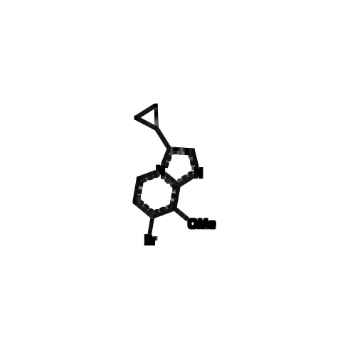 COc1c(Br)ccn2c(C3CC3)cnc12